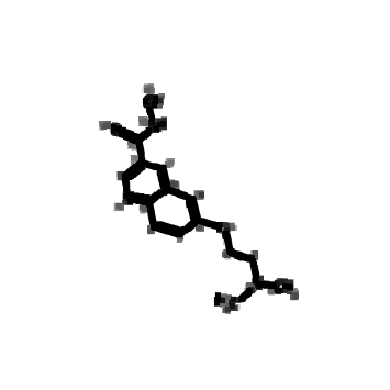 CN(C)CCOc1ccc2ncc(C(=O)NO)cc2c1